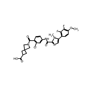 COc1ccc(-c2cnc(C(=O)Nc3ccc(C(=O)N4CC5(CC(C(=O)O)C5)C4)c(Cl)c3)n2C)c(F)c1F